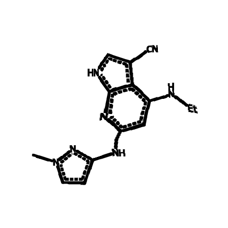 CCNc1cc(Nc2ccn(C)n2)nc2[nH]cc(C#N)c12